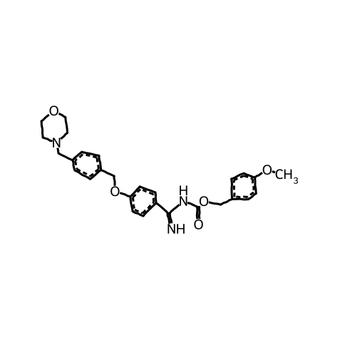 COc1ccc(COC(=O)NC(=N)c2ccc(OCc3ccc(CN4CCOCC4)cc3)cc2)cc1